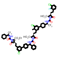 CCOC(=O)[C@@H]1[C@@H](CCc2cc(Cl)cc(-c3ccc(C(NC(=O)N4C(=O)[C@H](CCC5C=C(C6CCC([C@H](NC(=O)N7C(=O)[C@H](CCc8cccc(Cl)c8F)[C@H]7C(=O)O)C(F)(F)F)CC6)C=C(Cl)C5C)[C@H]4C(=O)O)c4ccccc4)cc3)c2)C(=O)N1C(=O)N[C@@H](C1CCCCC1)C(F)(F)F